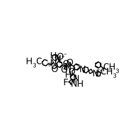 CC(C)c1ccccc1[C@@H]1CCCN1C1CC2(CCN(c3ccc(C(=O)NS(=O)(=O)c4cc5c(c([N+](=O)[O-])c4)N[C@@H]([C@H]4CC[C@H](C)CC4)CO5)c(Oc4cnc5[nH]cc(F)c5c4)c3)CC2)C1